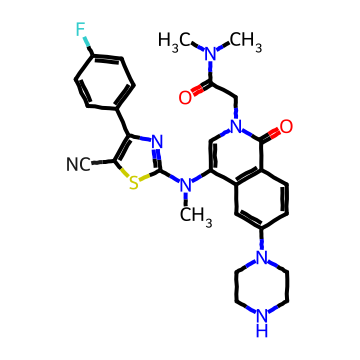 CN(C)C(=O)Cn1cc(N(C)c2nc(-c3ccc(F)cc3)c(C#N)s2)c2cc(N3CCNCC3)ccc2c1=O